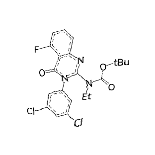 CCN(C(=O)OC(C)(C)C)c1nc2cccc(F)c2c(=O)n1-c1cc(Cl)cc(Cl)c1